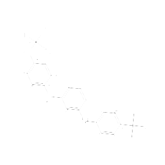 CC(C)(C)c1ccc(Nc2cccc(Oc3ccc(OC(F)(F)F)cc3)c2)cc1